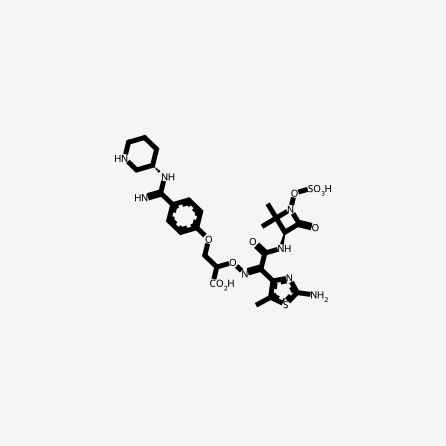 Cc1sc(N)nc1/C(=N/OC(COc1ccc(C(=N)N[C@H]2CCCNC2)cc1)C(=O)O)C(=O)N[C@@H]1C(=O)N(OS(=O)(=O)O)C1(C)C